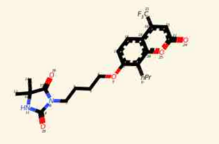 CCCc1c(OCCCCN2C(=O)NC(C)(C)C2=O)ccc2c(C(F)(F)F)cc(=O)oc12